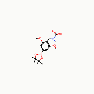 COc1cc(B2OC(C)(C)C(C)(C)O2)cc(OC)c1CN(C)C(=O)O